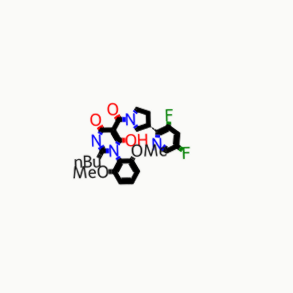 CCCCc1nc(=O)c(C(=O)N2CC[C@H](c3ncc(F)cc3F)C2)c(O)n1-c1c(OC)cccc1OC